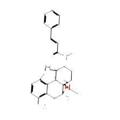 CC(=O)Oc1ccc2c3c1C[C@@H]1[C@@H]4CC[C@@H](N(C)C(=O)C=Cc5ccccc5)[C@H](O2)[C@]34CCN1C